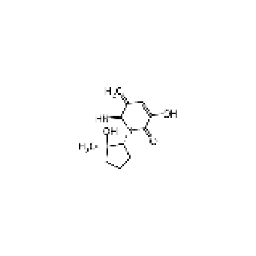 C=C1C=C(O)C(=O)N([C@@H]2CCC[C@@]2(C)O)C1=N